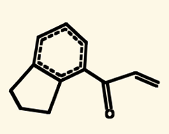 C=CC(=O)c1cccc2c1CCC2